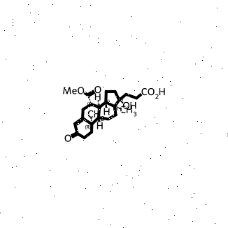 COC(=O)[C@H]1CC2=CC(=O)CC[C@]2(C)[C@H]2CC[C@@]3(C)[C@@H](CC[C@@]3(O)CCC(=O)O)[C@H]12